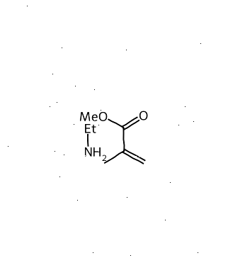 C=C(C)C(=O)OC.CCN